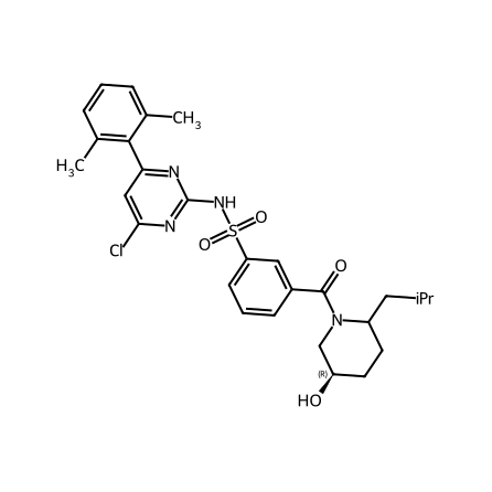 Cc1cccc(C)c1-c1cc(Cl)nc(NS(=O)(=O)c2cccc(C(=O)N3C[C@H](O)CCC3CC(C)C)c2)n1